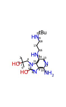 CC(C)(O)Cn1c(O)nc2c(N)ncc(NCCCNC(C)(C)C)c21